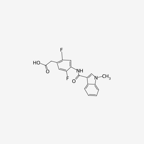 Cn1cc(C(=O)Nc2cc(F)c(CC(=O)O)cc2F)c2ccccc21